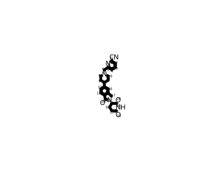 N#Cc1cccc(CN2CCC(c3ccc4c(c3)CN(C3CCC(=O)NC3=O)C4=O)CC2)n1